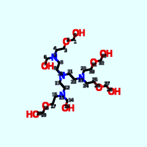 OCOCCN(CO)CCN(CCN(CO)CCOCO)CCN(CCOCO)CCOCO